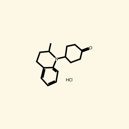 CC1CCc2ccccc2N1C1CCC(=O)CC1.Cl